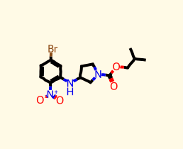 CC(C)COC(=O)N1CCC(Nc2cc(Br)ccc2[N+](=O)[O-])C1